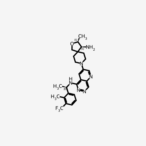 Cc1c([C@@H](C)Nc2nncc3ncc(N4CCC5(CC4)CO[C@@H](C)[C@H]5N)cc23)cccc1C(F)(F)F